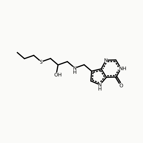 CCCSCC(O)CNCc1c[nH]c2c(=O)[nH]cnc12